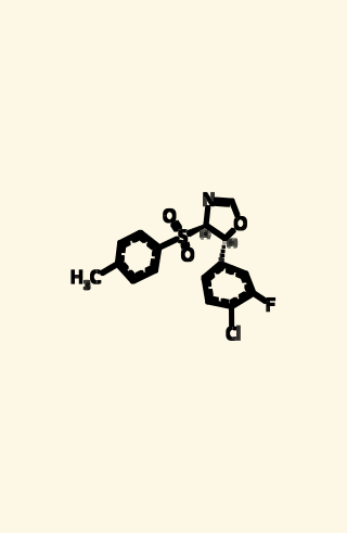 Cc1ccc(S(=O)(=O)[C@H]2N=CO[C@@H]2c2ccc(Cl)c(F)c2)cc1